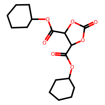 O=C1OC(C(=O)OC2CCCCC2)C(C(=O)OC2CCCCC2)O1